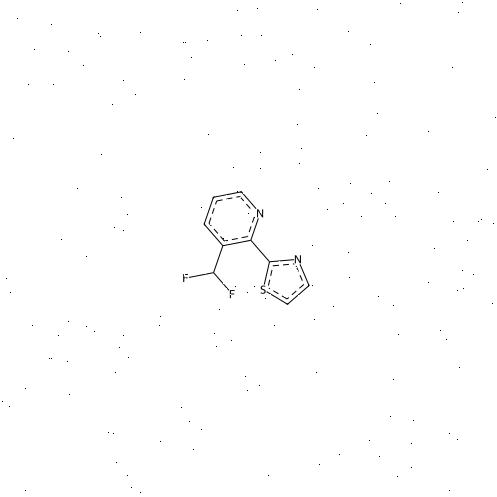 FC(F)c1cccnc1-c1n[c]cs1